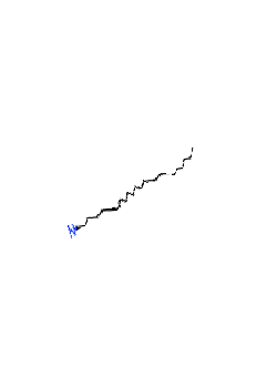 CCCCCCCCCCCCCCCC=CCCCC#N